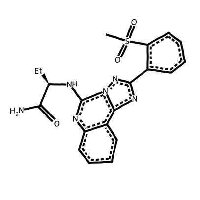 CC[C@@H](Nc1nc2ccccc2c2nc(-c3ccccc3S(C)(=O)=O)nn12)C(N)=O